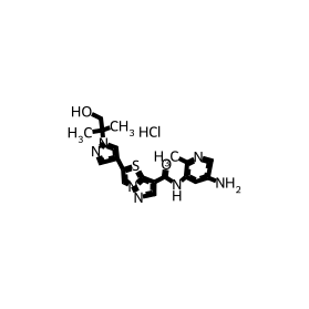 Cc1ncc(N)cc1NC(=O)c1cnn2cc(-c3cnn(C(C)(C)CO)c3)sc12.Cl